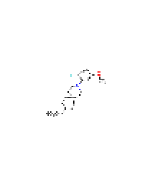 O=C(O)CC1CCC2(CC1)CCN(c1cc(OC(F)(F)F)ccc1F)CC2